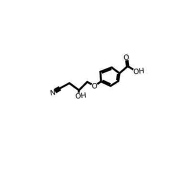 N#CCC(O)COc1ccc(C(=O)O)cc1